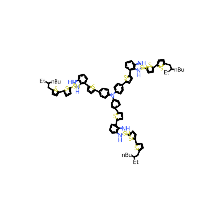 CCCCC(CC)Cc1ccc(-c2ccc([SH]3Nc4cccc(-c5ccc(-c6ccc(N(c7ccc(-c8ccc(-c9cccc%10c9N[SH](c9ccc(-c%11ccc(CC(CC)CCCC)s%11)s9)N%10)s8)cc7)c7ccc(-c8ccc(-c9cccc%10c9N[SH](c9ccc(-c%11ccc(CC(CC)CCCC)s%11)s9)N%10)s8)cc7)cc6)s5)c4N3)s2)s1